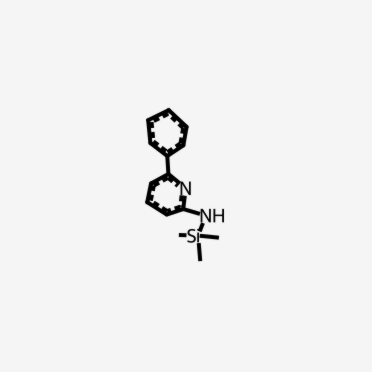 C[Si](C)(C)Nc1cccc(-c2ccccc2)n1